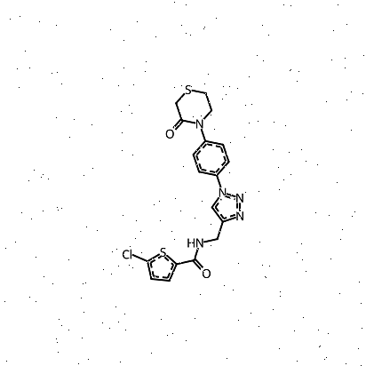 O=C(NCc1cn(-c2ccc(N3CCSCC3=O)cc2)nn1)c1ccc(Cl)s1